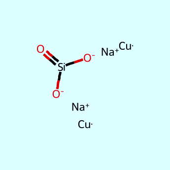 O=[Si]([O-])[O-].[Cu].[Cu].[Na+].[Na+]